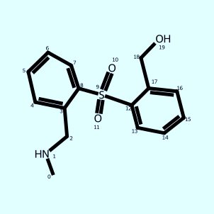 CNCc1ccccc1S(=O)(=O)c1ccccc1CO